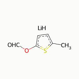 Cc1ccc(OC=O)s1.[LiH]